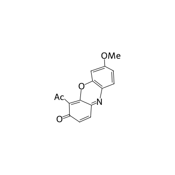 COc1ccc2nc3ccc(=O)c(C(C)=O)c-3oc2c1